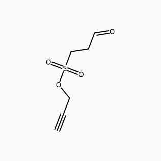 C#CCOS(=O)(=O)CCC=O